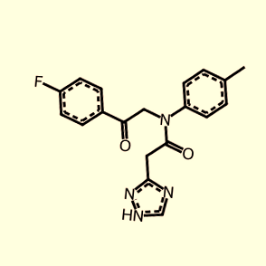 Cc1ccc(N(CC(=O)c2ccc(F)cc2)C(=O)Cc2nc[nH]n2)cc1